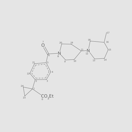 CCOC(=O)C1(c2ccc(C(=O)N3CCC(N4CCCC(C)C4)CC3)cc2)CC1